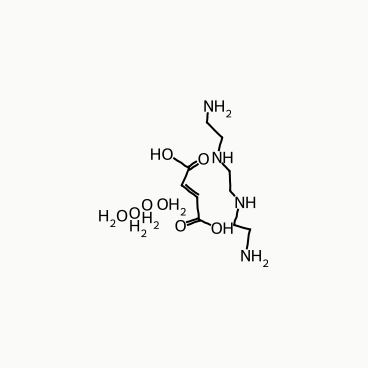 NCCNCCNCCN.O.O.O.O.O=C(O)C=CC(=O)O